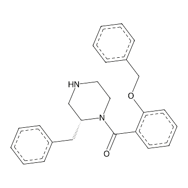 O=C(c1ccccc1OCc1ccccc1)N1CCNC[C@H]1Cc1ccccc1